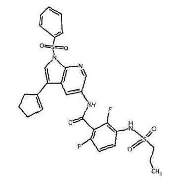 CCCS(=O)(=O)Nc1ccc(F)c(C(=O)Nc2cnc3c(c2)c(C2=CCCC2)cn3S(=O)(=O)c2ccccc2)c1F